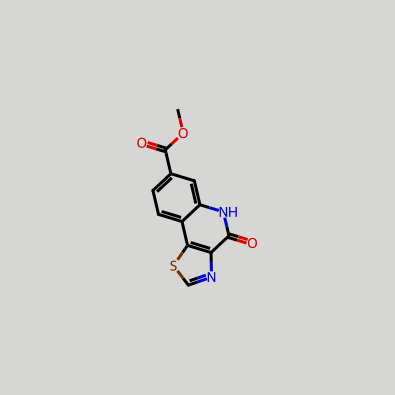 COC(=O)c1ccc2c(c1)[nH]c(=O)c1ncsc12